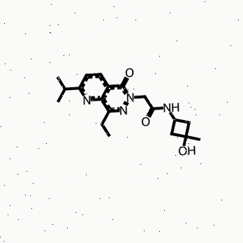 CCc1nn(CC(=O)NC2CC(C)(O)C2)c(=O)c2ccc(C(C)C)nc12